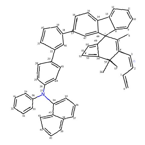 C=C/C=C\C1=C(C)C2(c3ccccc3-c3ccc(-c4cccc(-c5ccc(N(c6ccccc6)c6cccc7ccccc67)cc5)c4)cc32)c2ccccc2C1(C)C